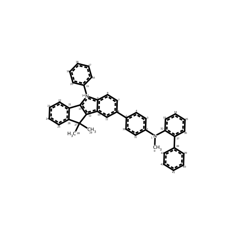 CN(c1ccc(-c2ccc3c(c2)c2c(n3-c3ccccc3)-c3ccccc3C2(C)C)cc1)c1ccccc1-c1ccccc1